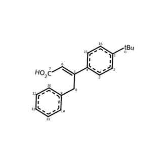 CC(C)(C)c1ccc(C(=CC(=O)O)Cc2ccccc2)cc1